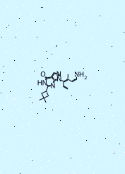 C=C/C(=C(C)\C=C/N)n1ncc2c(=O)[nH]c(C3CC(C)(C)C3)nc21